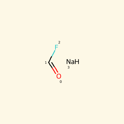 O=CF.[NaH]